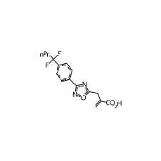 C=C(Cc1nc(-c2ccc(C(F)(F)CCC)cc2)no1)C(=O)O